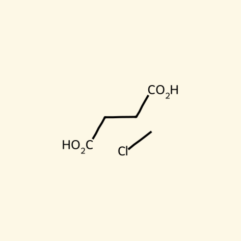 CCl.O=C(O)CCC(=O)O